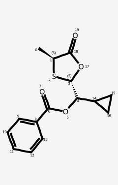 C[C@@H]1S[C@@H](C(OC(=O)c2ccccc2)C2CC2)OC1=O